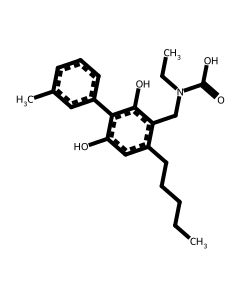 CCCCCc1cc(O)c(-c2cccc(C)c2)c(O)c1CN(CC)C(=O)O